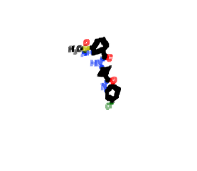 CS(=N)(=O)c1cccc(C(=O)NC23CC(c4nc5cc(Cl)ccc5o4)(C2)C3)c1